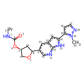 CC(C)NC(=O)O[C@@H]1COC(c2cnc3[nH]c(-c4ccnn4C)cc3c2)C1